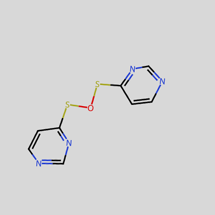 c1cc(SOSc2ccncn2)ncn1